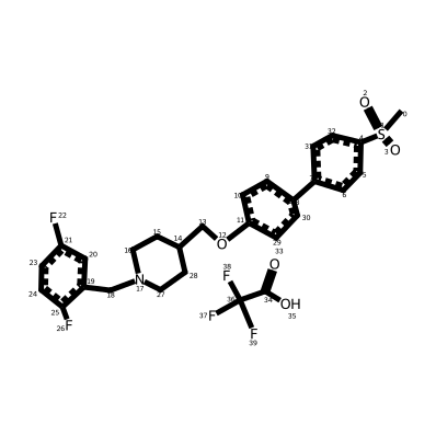 CS(=O)(=O)c1ccc(-c2ccc(OCC3CCN(Cc4cc(F)ccc4F)CC3)cc2)cc1.O=C(O)C(F)(F)F